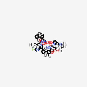 Cc1cccc(C)c1-c1cccc([C@H](CC(=O)O)NC(=O)[C@H](CC(C)C)n2cc(CN3CC(F)C3)c(-c3ccc(C)c(-c4cccc([C@H](CC(=O)O)NC(=O)[C@H](CC(C)C)n5cc(CCN(C)C)ccc5=O)c4)c3C)cc2=O)c1